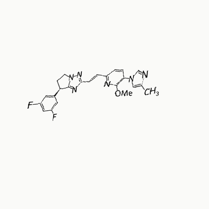 COc1nc(/C=C/c2nc3n(n2)CC[C@@H]3c2cc(F)cc(F)c2)ccc1-n1cnc(C)c1